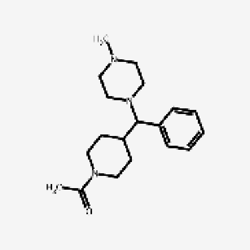 CC(=O)N1CCC(C(c2ccccc2)N2CCN(C)CC2)CC1